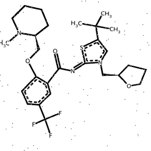 CN1CCCC[C@H]1COc1ccc(C(F)(F)F)cc1C(=O)N=c1sc(C(C)(C)C)cn1C[C@H]1CCCO1